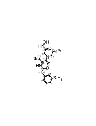 Cc1cccc(NC(=O)N[C@H](C(=O)N(CCC(C)C)CC(=O)NO)C(C)(C)C)c1